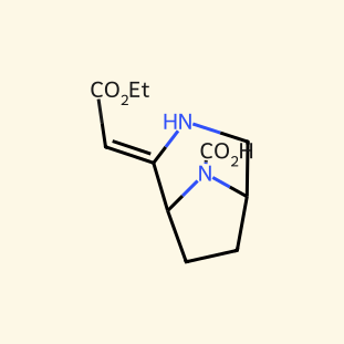 CCOC(=O)C=C1NCC2CCC1N2C(=O)O